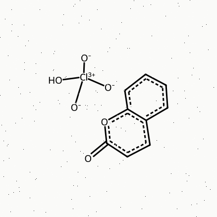 O=c1ccc2ccccc2o1.[O-][Cl+3]([O-])([O-])O